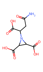 NC(=O)CC(C(=O)O)N1C(C(=O)O)C1C(=O)O